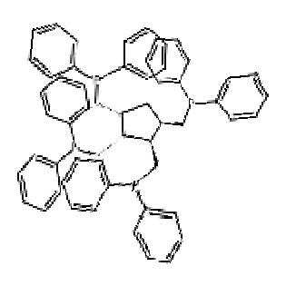 c1ccc(P(C[C@@H]2C[C@@H](CP(c3ccccc3)c3ccccc3)[C@@H](CP(c3ccccc3)c3ccccc3)[C@@H]2CP(c2ccccc2)c2ccccc2)c2ccccc2)cc1